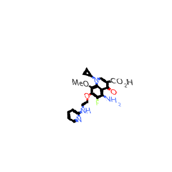 COc1c(OCCNc2ccccn2)c(F)c(N)c2c(=O)c(C(=O)O)cn(C3CC3)c12